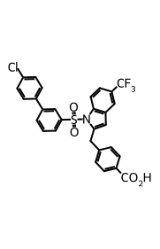 O=C(O)c1ccc(Cc2cc3cc(C(F)(F)F)ccc3n2S(=O)(=O)c2cccc(-c3ccc(Cl)cc3)c2)cc1